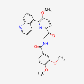 COc1ccc(C(=O)NCC(=O)c2ccc(OC)c(-c3cccc4ncccc34)n2)cc1OC